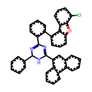 Clc1cccc2c1oc1cccc(-c3ccccc3C3=NC(c4ccccc4)NC(c4cc5ccccc5c5ccccc45)=N3)c12